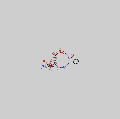 CO[C@]1(C)C[C@@H](C)CN(C)CCCN(C(=O)c2ccccc2)CCOC(=O)C(C)(C)C(=O)[C@H](C)[C@H]1O[C@@H]1O[C@H](C)C[C@H](N(C)C)[C@H]1O